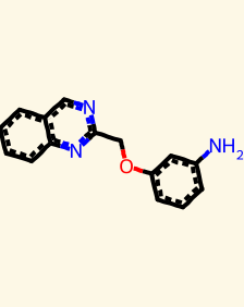 Nc1cccc(OCc2ncc3ccccc3n2)c1